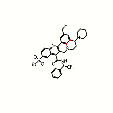 CCS(=O)(=O)c1ccc2nc(-c3cccc(CF)c3)c(CN3CCC(N4CCCCC4)CC3)c(C(=O)N[C@H](c3ccccc3)C(F)(F)F)c2c1